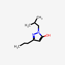 CCCc1cc(O)n(CC(C)C)n1